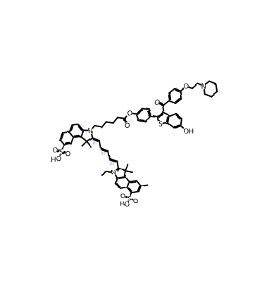 CC[N+]1=C(/C=C/C=C/C=C2/N(CCCCCC(=O)Oc3ccc(-c4sc5cc(O)ccc5c4C(=O)c4ccc(OCCN5CCCCC5)cc4)cc3)c3ccc4ccc(S(=O)(=O)O)cc4c3C2(C)C)C(C)(C)c2c1ccc1c(S(=O)(=O)O)cc(C)cc21